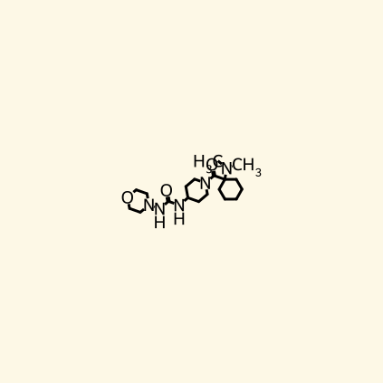 CN(C)C1(C(=O)N2CCC(NC(=O)NN3CCOCC3)CC2)CCCCC1